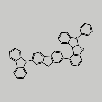 c1ccc(N2c3ccccc3C3c4c(cccc4-c4ccc5c(c4)sc4cc(-n6c7ccccc7c7ccccc76)ccc45)OC32)cc1